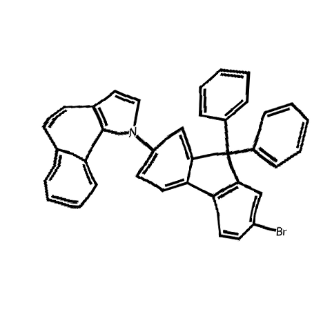 Brc1ccc2c(c1)C(c1ccccc1)(c1ccccc1)c1cc(-n3ccc4ccc5ccccc5c43)ccc1-2